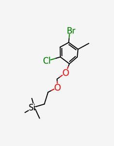 Cc1cc(OCOCC[Si](C)(C)C)c(Cl)cc1Br